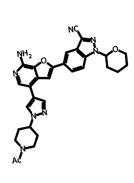 CC(=O)N1CCC(n2cc(-c3cnc(N)c4oc(-c5ccc6c(c5)c(C#N)nn6C5CCCCO5)cc34)cn2)CC1